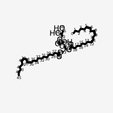 CCCCC/C=C\C/C=C\C/C=C\CCCCCCC(=O)O[C@H](COC(=O)CCCCCCCCC/C=C\C/C=C\CCCCC)COP(=O)(O)OC[C@@H](O)CO